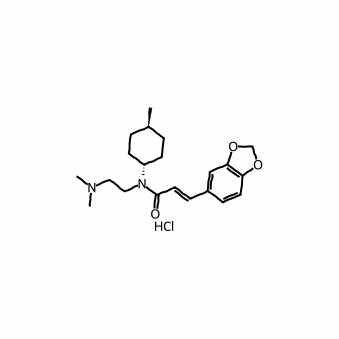 CN(C)CCN(C(=O)C=Cc1ccc2c(c1)OCO2)[C@H]1CC[C@H](C)CC1.Cl